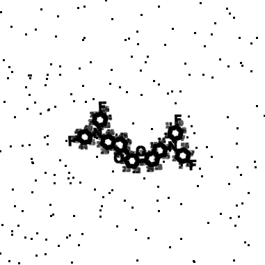 Fc1ccc(N(c2ccc(F)cc2)c2ccc3c(ccc4c5ccc6oc7c8ccc(N(c9ccc(F)cc9)c9ccc(F)cc9)cc8ccc7c6c5oc34)c2)cc1